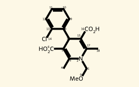 COCN1C(C)=C(C(=O)O)C(c2ccccc2Cl)C(C(=O)O)=C1C